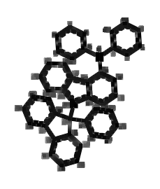 c1ccc(N(c2ccccc2)c2cccc3c2c2ccccc2n3C2(c3ccccc3)c3ccccc3-c3ccccc32)cc1